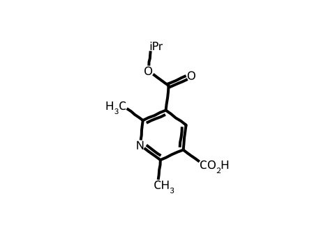 Cc1nc(C)c(C(=O)OC(C)C)cc1C(=O)O